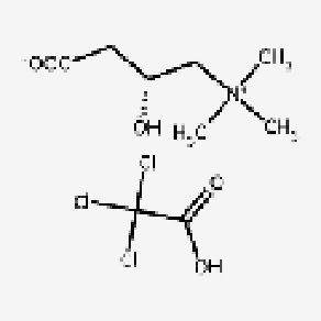 C[N+](C)(C)C[C@H](O)CC(=O)[O-].O=C(O)C(Cl)(Cl)Cl